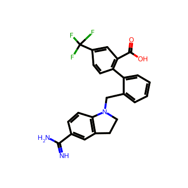 N=C(N)c1ccc2c(c1)CCN2Cc1ccccc1-c1ccc(C(F)(F)F)cc1C(=O)O